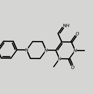 Cn1c(N2CCN(c3ccccc3)CC2)c(C=N)c(=O)n(C)c1=O